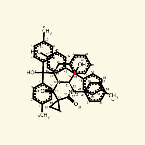 Cc1ccc(C(O)(c2ccc(C)cc2)[C@@H](Cc2ccccc2)N(C(=O)C2(C(N)=O)CC2)[C@H](Cc2ccccc2)C(O)(c2ccc(C)cc2)c2ccc(C)cc2)cc1